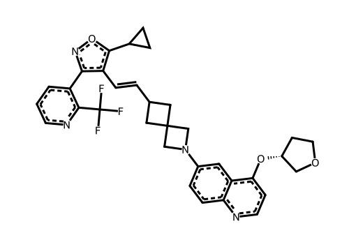 FC(F)(F)c1ncccc1-c1noc(C2CC2)c1/C=C/C1CC2(C1)CN(c1ccc3nccc(O[C@@H]4CCOC4)c3c1)C2